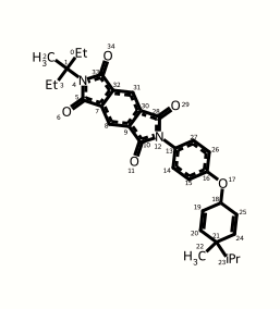 CCC(C)(CC)n1c(=O)c2cc3c(=O)n(-c4ccc(OC5C=CC(C)(C(C)C)C=C5)cc4)c(=O)c3cc2c1=O